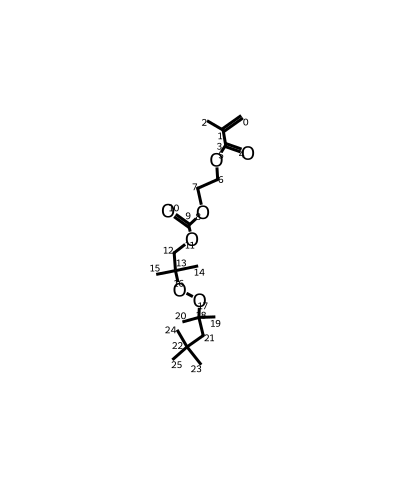 C=C(C)C(=O)OCCOC(=O)OCC(C)(C)OOC(C)(C)CC(C)(C)C